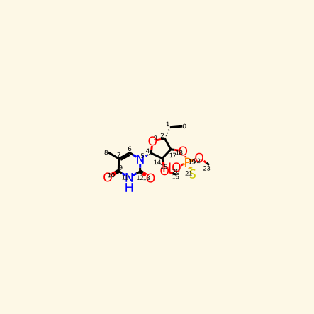 CC[C@H]1O[C@@H](n2cc(C)c(=O)[nH]c2=O)C(OC)C1OP(O)(=S)OC